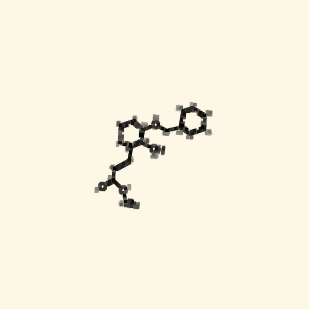 CC(C)(C)OC(=O)C=Cc1cccc(OCc2ccccc2)c1O